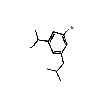 C[C](C)c1cc(Br)cc(CC(C)C)c1